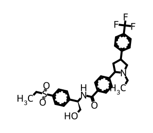 CCN1CC(c2ccc(C(F)(F)F)cc2)CC1c1ccc(C(=O)N[C@@H](CO)c2ccc(S(=O)(=O)CC)cc2)cc1